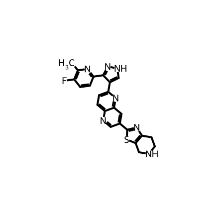 Cc1nc(-c2n[nH]cc2-c2ccc3ncc(-c4nc5c(s4)CNCC5)cc3n2)ccc1F